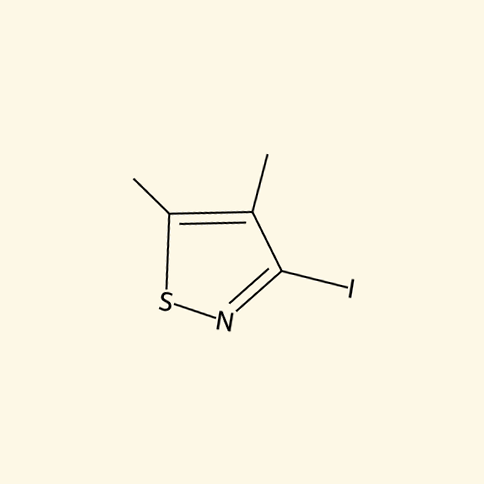 Cc1snc(I)c1C